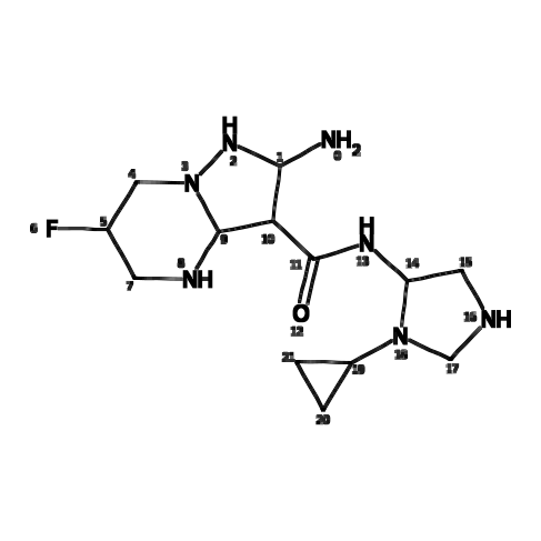 NC1NN2CC(F)CNC2C1C(=O)NC1CNCN1C1CC1